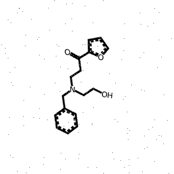 O=C(CCN(CCO)Cc1ccccc1)c1ccco1